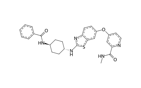 CNC(=O)c1cc(Oc2ccc3nc(N[C@H]4CC[C@H](NC(=O)c5ccccc5)CC4)sc3c2)ccn1